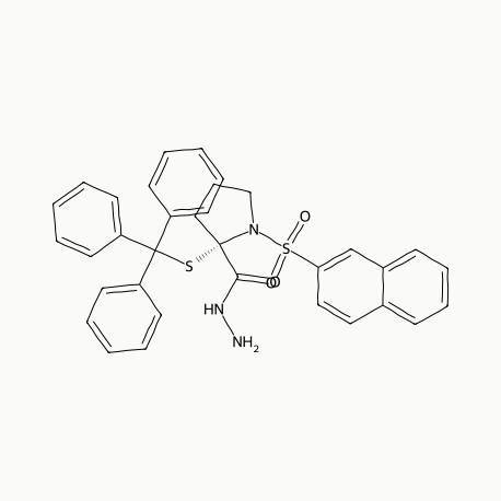 NNC(=O)[C@@]1(SC(c2ccccc2)(c2ccccc2)c2ccccc2)CCCN1S(=O)(=O)c1ccc2ccccc2c1